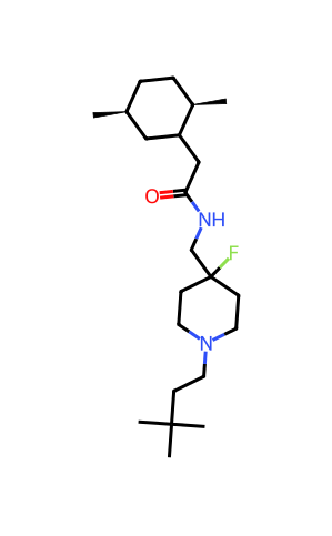 C[C@H]1CC[C@@H](C)C(CC(=O)NCC2(F)CCN(CCC(C)(C)C)CC2)C1